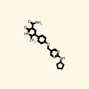 NC(=O)c1cc(-c2ccc(OCc3cnc(NC4CCCC4)nc3)cc2)c(C(F)(F)F)[nH]c1=O